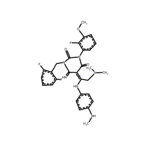 CNc1ccc(N/C(CN(C)C)=C2\C(=N)N(Cc3c(F)cccc3F)C(=O)N(c3cccc(OC)c3F)C2=O)cc1